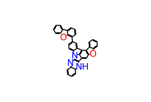 C1=CC2=Nc3c(c4cc5oc6ccccc6c5c5c6cc(-c7cccc8c7oc7ccccc78)ccc6n3c45)NC2C=C1